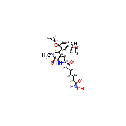 Cn1cc(-c2cc(C(C)(C)O)ccc2OC2CC2)c2cc(C(=O)CCCCCC(=O)NO)[nH]c2c1=O